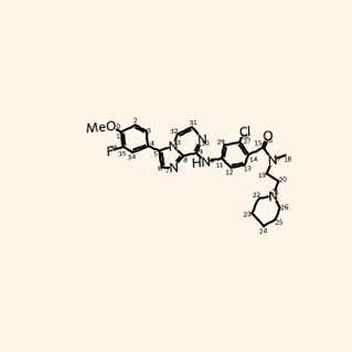 COc1ccc(-c2cnc3c(Nc4ccc(C(=O)N(C)CCN5CCCCC5)c(Cl)c4)nccn23)cc1F